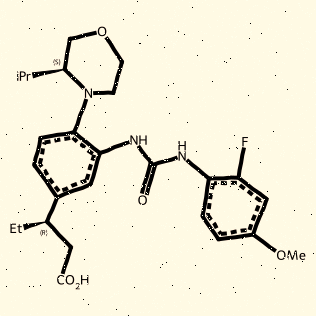 CC[C@H](CC(=O)O)c1ccc(N2CCOC[C@@H]2C(C)C)c(NC(=O)Nc2ccc(OC)cc2F)c1